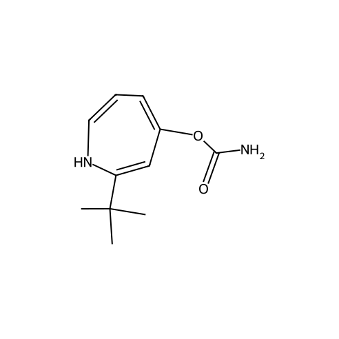 CC(C)(C)C1=CC(OC(N)=O)=CC=CN1